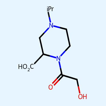 CC(C)N1CCN(C(=O)CO)C(C(=O)O)C1